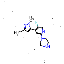 Cc1cc(-c2cc(N3CCNCC3)ncc2F)n(C)n1